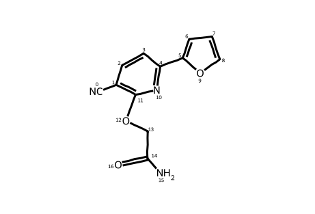 N#Cc1ccc(-c2ccco2)nc1OCC(N)=O